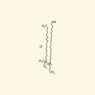 CCCCCCCCCCCCCCCCCCCCCCO.CCCCCCCCCCCCCCCC[N+](C)(C)C.[Cl-]